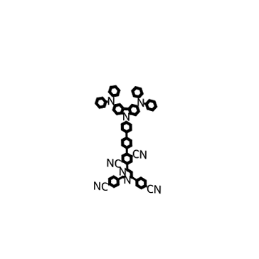 N#Cc1ccc(-c2cc(-c3cc(C#N)c(-c4ccc(-c5ccc(-n6c7ccc(N(c8ccccc8)c8ccccc8)cc7c7cc(N(c8ccccc8)c8ccccc8)ccc76)cc5)cc4)cc3C#N)nc(-c3ccc(C#N)cc3)n2)cc1